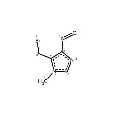 Cn1cnc(N=O)c1CBr